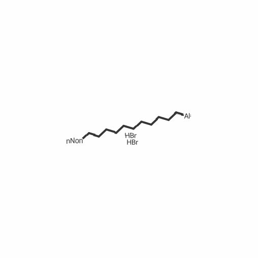 Br.Br.CCCCCCCCCCCCCCCCCCC[CH2][Al]